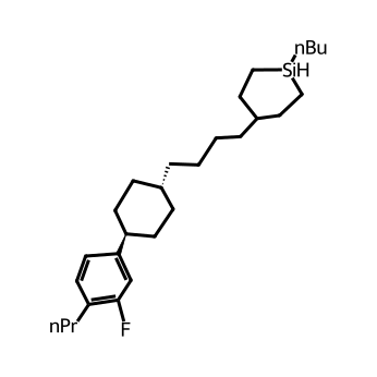 CCCC[SiH]1CCC(CCCC[C@H]2CC[C@H](c3ccc(CCC)c(F)c3)CC2)CC1